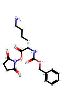 NCCCC[C@H](NC(=O)OCc1ccccc1)C(=O)ON1C(=O)CCC1=O